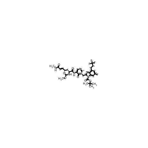 CNC(=O)/C=C/CC[C@H](NC(=O)OC)C(=O)Nc1cncn(Cc2nc3c(CCC(F)(F)F)cc(F)cc3n2C(=O)OC(C)(C)C)c1=O